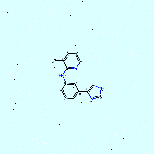 O=[N+]([O-])c1cccnc1Nc1cccc(-c2c[nH]cn2)c1